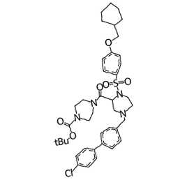 CC(C)(C)OC(=O)N1CCN(C(=O)C2CN(Cc3ccc(-c4ccc(Cl)cc4)cc3)CCN2S(=O)(=O)c2ccc(OCC3CCCCC3)cc2)CC1